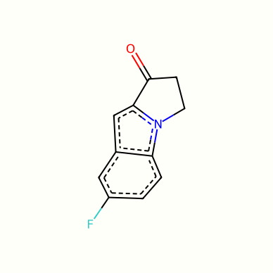 O=C1CCn2c1cc1cc(F)ccc12